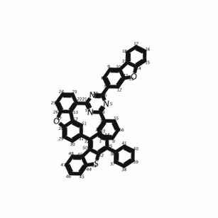 c1ccc(-c2nc(-c3ccc4c(c3)oc3ccccc34)nc(-c3cccc4oc5ccc(-c6ccc(-c7ccccc7)c7sc8ccccc8c67)cc5c34)n2)cc1